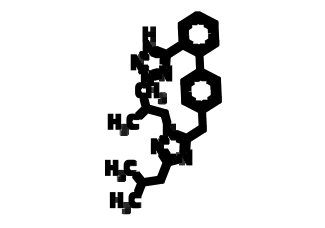 CC(C)Cc1nc(Cc2ccc(-c3ccccc3-c3nnn[nH]3)cc2)n(CC(C)C)n1